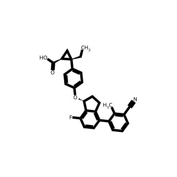 CC[C@]1(c2ccc(O[C@@H]3CCc4c(-c5cccc(C#N)c5C)ccc(F)c43)cc2)C[C@@H]1C(=O)O